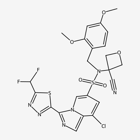 COc1ccc(CN(C2(C#N)COC2)S(=O)(=O)c2cc(Cl)c3cnc(-c4nnc(C(F)F)s4)n3c2)c(OC)c1